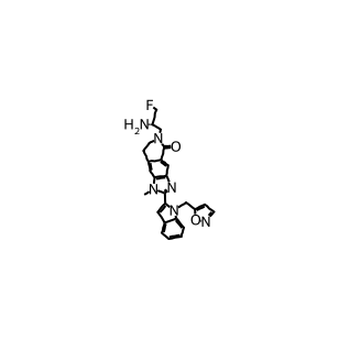 Cn1c(-c2cc3ccccc3n2Cc2ccno2)nc2cc3c(cc21)CCN(C[C@H](N)CF)C3=O